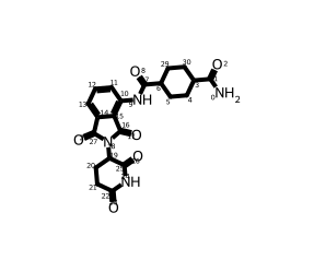 NC(=O)C1CCC(C(=O)Nc2cccc3c2C(=O)N(C2CCC(=O)NC2=O)C3=O)CC1